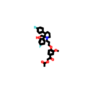 COc1cc(C(=O)COC(C)=O)ccc1OCCCN1CCCC(c2ccc(F)cc2)C1(CO)c1ccc(F)cc1